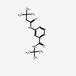 CC(C)(C)CC(=O)Nc1cccc(C(=O)NC(C)(C)C)c1